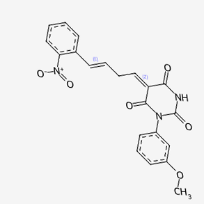 COc1cccc(N2C(=O)NC(=O)/C(=C/C/C=C/c3ccccc3[N+](=O)[O-])C2=O)c1